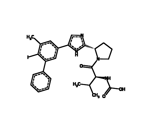 Cc1cc(-c2cnc([C@@H]3CCCN3C(=O)[C@@H](NC(=O)O)C(C)C)[nH]2)cc(-c2ccccc2)c1I